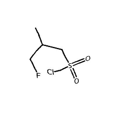 CC(CF)CS(=O)(=O)Cl